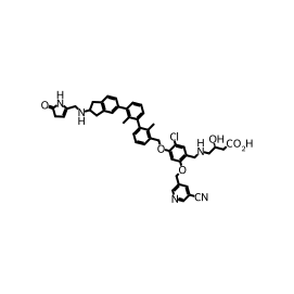 Cc1c(COc2cc(OCc3cncc(C#N)c3)c(CNC[C@@H](O)CC(=O)O)cc2Cl)cccc1-c1cccc(-c2ccc3c(c2)CC(NCC2=CCC(=O)N2)C3)c1C